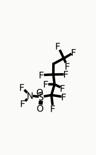 O=S(=O)(N(F)F)C(F)(F)C(F)(F)C(F)(F)CC(F)(F)F